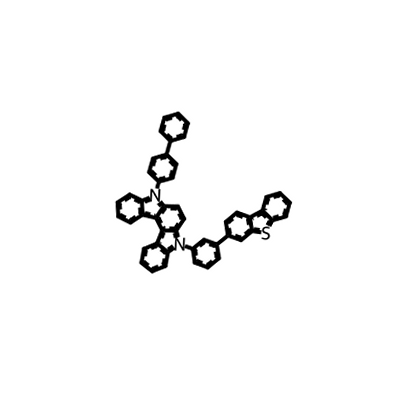 c1ccc(-c2ccc(-n3c4ccccc4c4c5c6ccccc6n(-c6cccc(-c7ccc8c(c7)sc7ccccc78)c6)c5ccc43)cc2)cc1